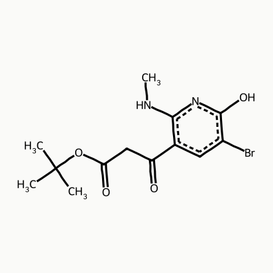 CNc1nc(O)c(Br)cc1C(=O)CC(=O)OC(C)(C)C